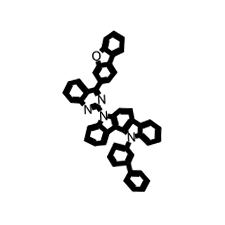 c1ccc(-c2cccc(-n3c4ccccc4c4ccc5c(c6ccccc6n5-c5nc(-c6ccc7c(c6)oc6ccccc67)c6ccccc6n5)c43)c2)cc1